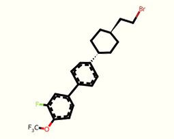 Fc1cc(-c2ccc([C@H]3CC[C@H](CCBr)CC3)cc2)ccc1OC(F)(F)F